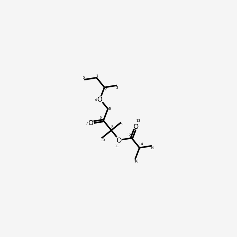 CCC(C)OCC(=O)C(C)(C)OC(=O)C(C)C